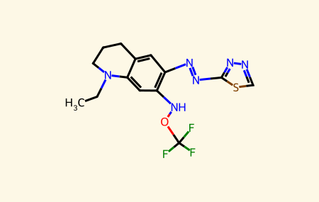 CCN1CCCc2cc(N=Nc3nncs3)c(NOC(F)(F)F)cc21